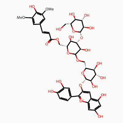 COc1cc(/C=C/C(=O)OC[C@H]2OC(OC[C@H]3O[C@@H](Oc4cc5c(O)cc(O)cc5[o+]c4-c4ccc(O)c(O)c4)[C@H](O)[C@@H](O)[C@@H]3O)[C@H](O)[C@@H](O[C@@H]3O[C@H](CO)[C@@H](O)[C@H](O)[C@H]3O)[C@@H]2O)cc(OC)c1O